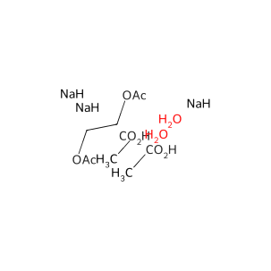 CC(=O)O.CC(=O)O.CC(=O)OCCOC(C)=O.O.O.[NaH].[NaH].[NaH]